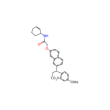 COc1ccc(C(CC(=O)O)c2ccc3ccc(OCC(=O)NC4C=CCCC4)cc3c2)cc1